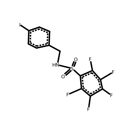 O=S(=O)(NCc1ccc(I)cc1)c1c(F)c(F)c(F)c(F)c1F